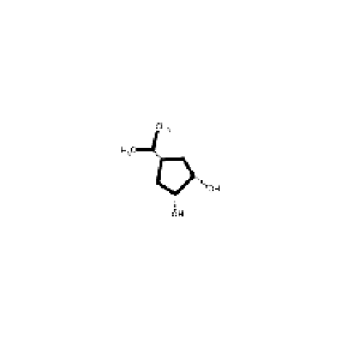 CC(C)[C@H]1C[C@@H](O)[C@@H](O)C1